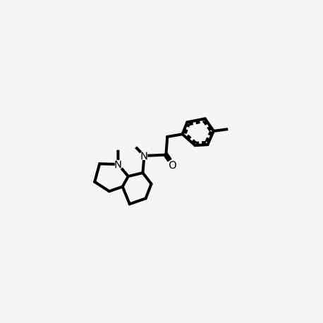 Cc1ccc(CC(=O)N(C)C2CCCC3CCCN(C)C32)cc1